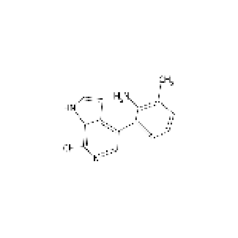 Cc1cccc(-c2cnc(Cl)c3[nH]ccc23)c1N